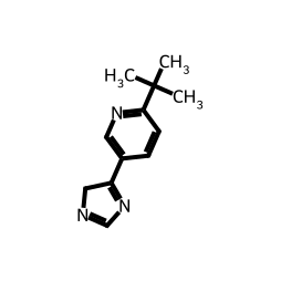 CC(C)(C)c1ccc(C2=NC=NC2)cn1